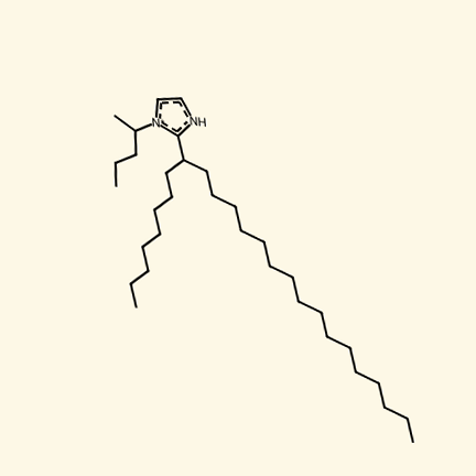 CCCCCCCCCCCCCCCCC(CCCCCCCC)c1[nH]cc[n+]1C(C)CCC